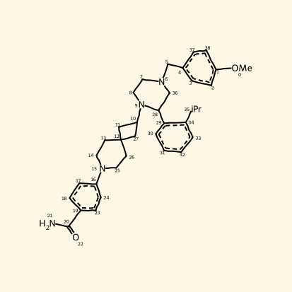 COc1ccc(CN2CCN(C3CC4(CCN(c5ccc(C(N)=O)cc5)CC4)C3)C(c3ccccc3C(C)C)C2)cc1